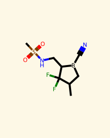 CC1CB(C#N)C(CNS(C)(=O)=O)C1(F)F